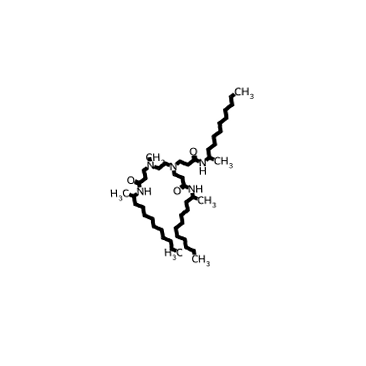 CCCCCCCCCCC(C)NC(=O)CCN(C)CCN(CCC(=O)NC(C)CCCCCCCCCC)CCC(=O)NC(C)CCCCCCCCCC